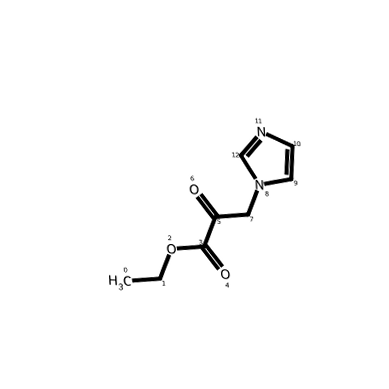 CCOC(=O)C(=O)Cn1ccnc1